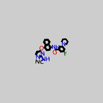 N#CNc1nccc(Oc2ccc(NC(=O)c3cc(F)cc(N4CCCCC4)c3)c3ccccc23)n1